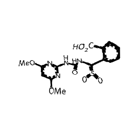 COc1cc(OC)nc(NC(=O)NC(c2ccccc2C(=O)O)=S(=O)=O)n1